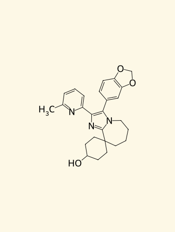 Cc1cccc(-c2nc3n(c2-c2ccc4c(c2)OCO4)CCCCC32CCC(O)CC2)n1